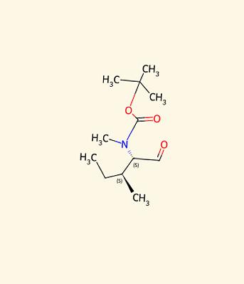 CC[C@H](C)[C@@H](C=O)N(C)C(=O)OC(C)(C)C